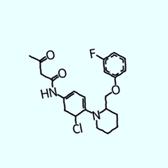 CC(=O)CC(=O)NC1=CC=C(N2CCCCC2COc2cccc(F)c2)C(Cl)C1